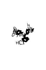 CS(=O)(=O)c1ccc(CNC(c2ccccc2)c2ccc(NC3=NCCN3)cc2)cc1.Cl